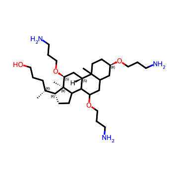 C[C@H](CCCO)[C@H]1CCC2C3C(OCCCN)CC4C[C@H](OCCCN)CCC4(C)[C@H]3C[C@H](OCCCN)[C@@]21C